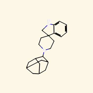 c1ccc2c(c1)NCC21CCN(C2C3CC4CC(C3)CC2C4)CC1